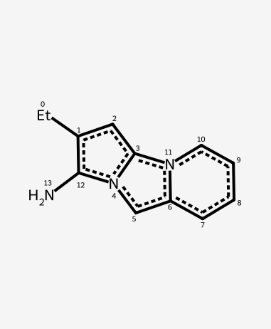 CCc1cc2n(cc3ccccn32)c1N